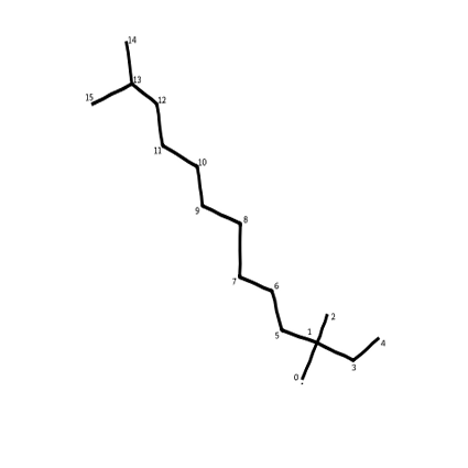 [CH2]C(C)(CC)CCCCCCCCC(C)C